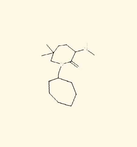 CNC1CCC(C)(C)CN(C2CCCCCC2)C1=O